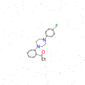 CCC(=O)c1ccccc1N1CCN(c2ccc(F)cc2)CC1